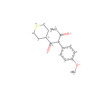 CCCCOc1ccc(C(C(=O)OC)C(=O)C2CCSCC2)cc1